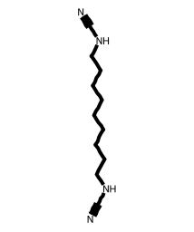 N#CNCCCCCCCCCNC#N